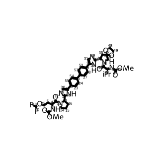 COC(=O)NC(CCOC(F)F)C(=O)N1CCCC1c1ncc(-c2ccc(-c3ccc(-c4cnc([C@@H]5CC6(CN5C(=O)[C@@H](NC(=O)OC)C(C)C)OCCO6)[nH]4)cc3)cc2)[nH]1